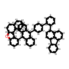 c1ccc(-c2ccc3c4c(cccc24)-c2ccccc2-3)c(-c2ccc(-c3c4ccccc4c(-c4cccc5oc6ccc7ccccc7c6c45)c4ccccc34)cc2)c1